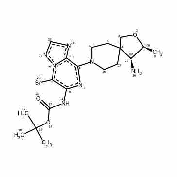 C[C@@H]1OCC2(CCN(c3nc(NC(=O)OC(C)(C)C)c(Br)n4ncnc34)CC2)[C@@H]1N